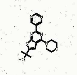 CC(C)(O)c1cc2c(N3CCOCC3)nc(-c3cncnc3)nc2s1